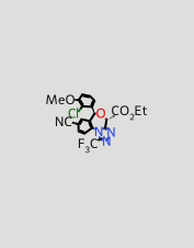 CCOC(=O)C[C@H]1O[C@H](c2cccc(OC)c2Cl)c2cc(C#N)ccc2-n2c1nnc2C(F)(F)F